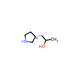 CC(O)C[C@H]1CCNC1